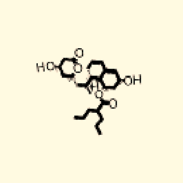 CCCC(CCC)C(=O)O[C@H]1C[C@H](O)C=C2C=CC[C@@H]([C@@H](C)C[C@@H]3C[C@@H](O)CC(=O)O3)[C@H]21